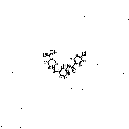 O=C(Nc1cc(CN2CCC(C(=O)O)CC2)ccn1)c1ccc(Cl)cc1